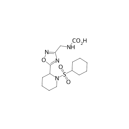 O=C(O)NCc1noc(C2CCCCN2S(=O)(=O)C2CCCCC2)n1